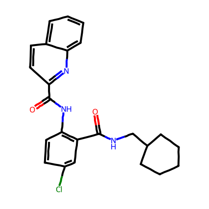 O=C(Nc1ccc(Cl)cc1C(=O)NCC1CCCCC1)c1ccc2ccccc2n1